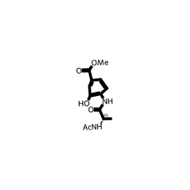 COC(=O)c1ccc(NC(=O)[C@H](C)NC(C)=O)c(O)c1